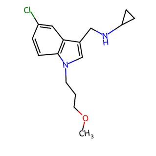 COCCCn1cc(CNC2CC2)c2cc(Cl)ccc21